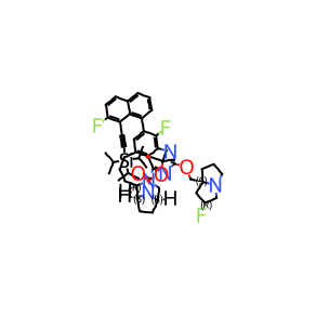 CC(C)[Si](C#Cc1c(F)ccc2cccc(-c3cc4c5c(nc(OC[C@@]67CCCN6C[C@H](F)C7)nc5c3F)N3C[C@H]5CC[C@@H]([C@H]3CCC4)N5C(=O)OC(C)(C)C)c12)(C(C)C)C(C)C